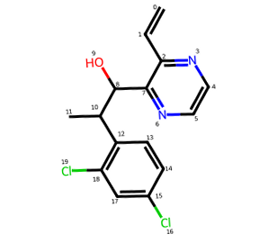 C=Cc1nccnc1C(O)C(C)c1ccc(Cl)cc1Cl